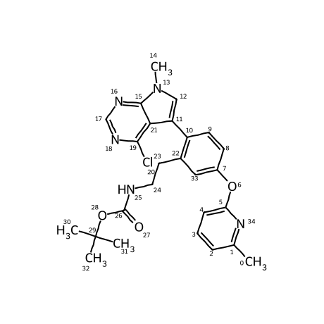 Cc1cccc(Oc2ccc(-c3cn(C)c4ncnc(Cl)c34)c(CCNC(=O)OC(C)(C)C)c2)n1